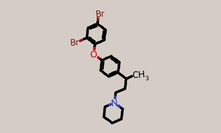 CC(CCN1CCCCC1)c1ccc(Oc2ccc(Br)cc2Br)cc1